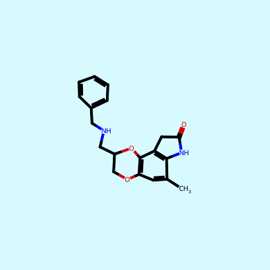 Cc1cc2c(c3c1NC(=O)C3)OC(CNCc1ccccc1)CO2